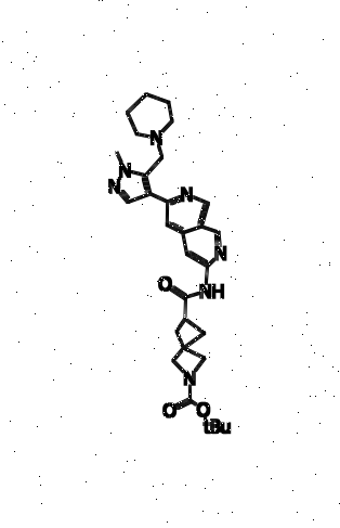 Cn1ncc(-c2cc3cc(NC(=O)C4CC5(C4)CN(C(=O)OC(C)(C)C)C5)ncc3cn2)c1CN1CCCCC1